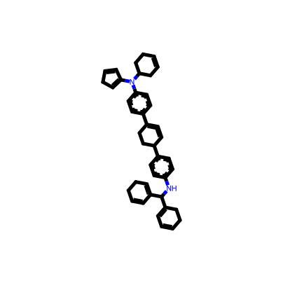 C1=CC(c2ccc(NC(C3=CCCC=C3)C3=CC=CCC3)cc2)CCC=1c1ccc(N(C2=CCC=C2)C2CC=CCC2)cc1